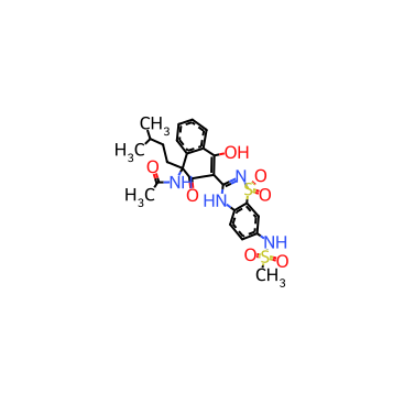 CC(=O)NC1(CCC(C)C)C(=O)C(C2=NS(=O)(=O)c3cc(NS(C)(=O)=O)ccc3N2)=C(O)c2ccccc21